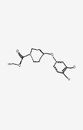 CC(C)(C)OC(=O)N1CCC(Oc2ccc(F)c(Cl)c2)CC1